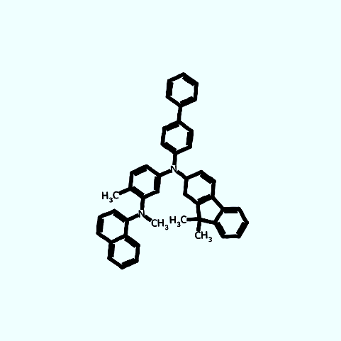 Cc1ccc(N(c2ccc(-c3ccccc3)cc2)C2C=CC3=C(C2)C(C)(C)c2ccccc23)cc1N(C)c1cccc2ccccc12